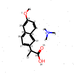 CN(C)C.COc1ccc2cc(C(C)C(=O)O)ccc2c1